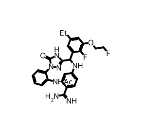 CCc1cc(OCCF)c(F)c(C(Nc2ccc(C(=N)N)cc2)c2nn(-c3ccccc3NC(C)=O)c(=O)[nH]2)c1